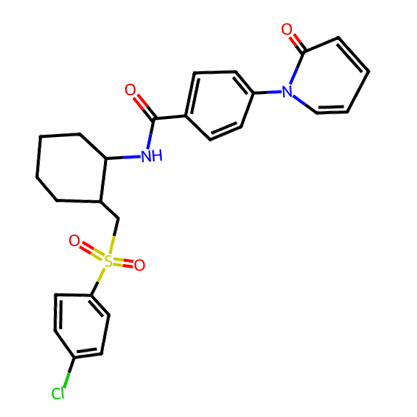 O=C(NC1CCCCC1CS(=O)(=O)c1ccc(Cl)cc1)c1ccc(-n2ccccc2=O)cc1